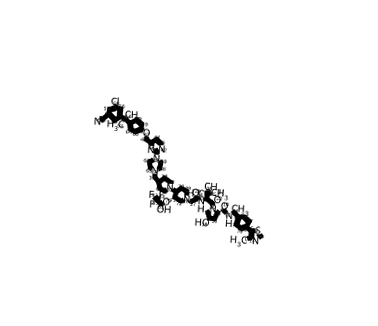 Cc1ncsc1-c1ccc([C@H](C)NC(=O)[C@@H]2C[C@@H](O)CN2C(=O)[C@@H](NC(=O)CN2CCC(N3CCC(CN4CCN(c5nccc(COc6ccc(C(C)(C)c7cc(Cl)cc(C#N)c7)cc6)n5)CC4)CC3)CC2)C(C)(C)C)cc1.O=C(O)C(F)(F)F